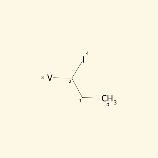 CC[CH]([V])I